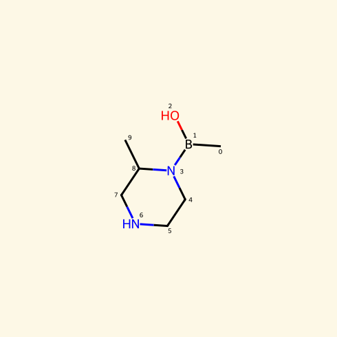 CB(O)N1CCNCC1C